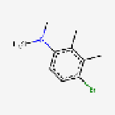 Cc1c(Br)ccc(N(C)[SiH3])c1C